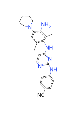 Cc1cc(N2CCCCC2)c(N)c(C)c1Nc1ccnc(Nc2ccc(C#N)cc2)n1